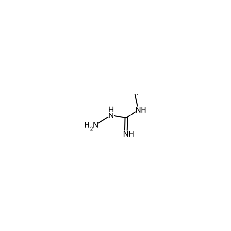 [CH2]NC(=N)NN